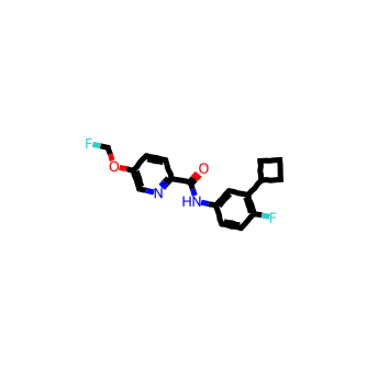 O=C(Nc1ccc(F)c(C2CCC2)c1)c1ccc(OCF)cn1